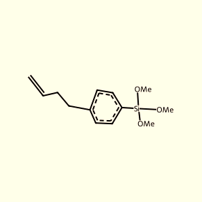 C=CCCc1ccc([Si](OC)(OC)OC)cc1